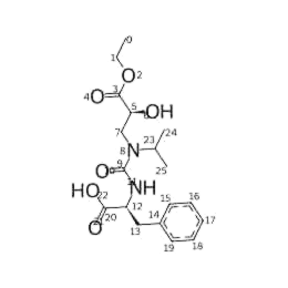 CCOC(=O)[C@@H](O)CN(C(=O)N[C@@H](Cc1ccccc1)C(=O)O)C(C)C